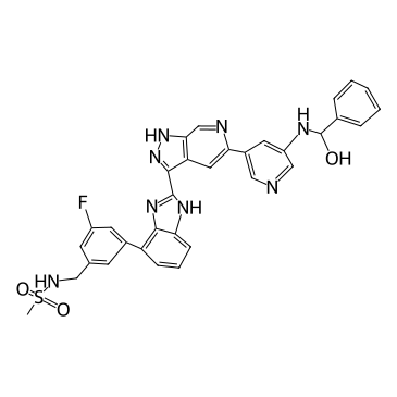 CS(=O)(=O)NCc1cc(F)cc(-c2cccc3[nH]c(-c4n[nH]c5cnc(-c6cncc(NC(O)c7ccccc7)c6)cc45)nc23)c1